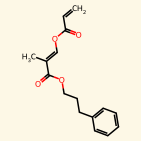 C=CC(=O)OC=C(C)C(=O)OCCCc1ccccc1